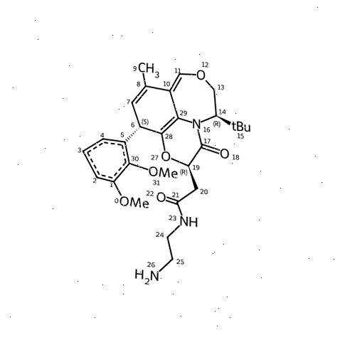 COc1cccc([C@@H]2C=C(C)C3=COC[C@@H](C(C)(C)C)N4C(=O)[C@@H](CC(=O)NCCN)OC2=C34)c1OC